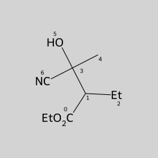 CCOC(=O)C(CC)C(C)(O)C#N